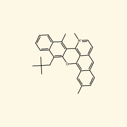 Cc1ccc2cc3cc[n+](C)c4c3c(c2c1)Oc1c-4c(C)c2ccccc2c1CC(C)(C)C